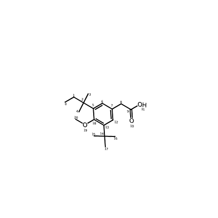 CCC(C)(C)c1cc(CC(=O)O)cc(C(C)(C)C)c1OC